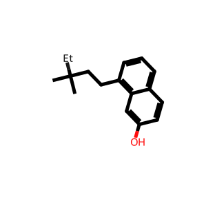 CCC(C)(C)CCc1cccc2ccc(O)cc12